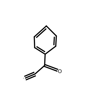 [C]#CC(=O)c1ccccc1